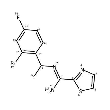 CC(/N=C(\N)c1nccs1)c1ccc(F)cc1Br